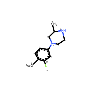 COc1ccc(N2CCNC(C)C2)cc1F